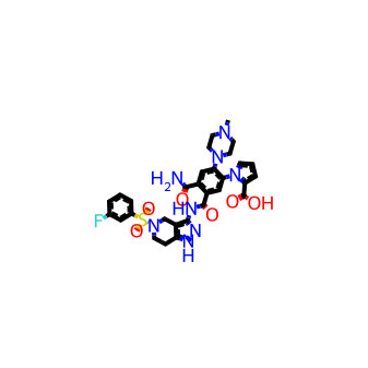 CN1CCN(c2cc(C(N)=O)c(C(=O)Nc3n[nH]c4c3CN(S(=O)(=O)c3cccc(F)c3)CC4)cc2-n2cccc2C(=O)O)CC1